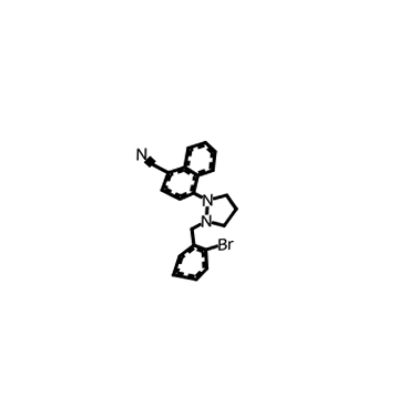 N#Cc1ccc(N2CCCN2Cc2ccccc2Br)c2ccccc12